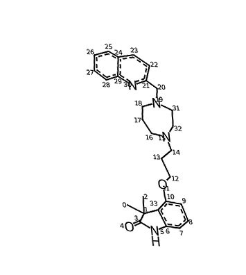 CC1(C)C(=O)Nc2cccc(OCCCN3CCCN(Cc4ccc5ccccc5n4)CC3)c21